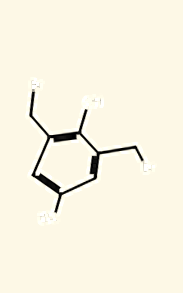 CC(C)(C)c1cc(CBr)c(O)c(CBr)c1